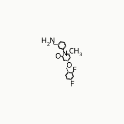 Cc1cc(OCc2ccc(F)cc2F)cc(=O)n1-c1cccc(CN)c1